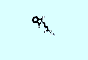 COC(=O)/C=C/CN1C(=O)c2ccccc2C1=O